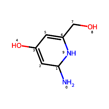 NC1C=C(O)C=C(CO)N1